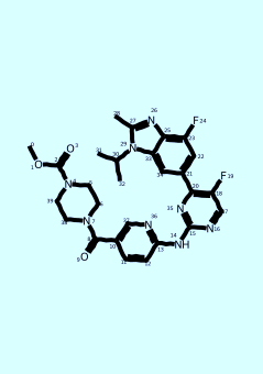 COC(=O)N1CCN(C(=O)c2ccc(Nc3ncc(F)c(-c4cc(F)c5nc(C)n(C(C)C)c5c4)n3)nc2)CC1